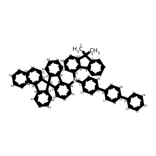 CC1(C)c2ccccc2-c2c(N(c3ccc(-c4ccc(-c5ccccc5)cc4)cc3)c3cccc4c3-c3ccccc3C43c4ccccc4-c4c3ccc3ccccc43)cccc21